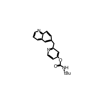 CC(C)(C)NC(=O)Oc1ccnc(Cc2ccc3ncccc3c2)c1